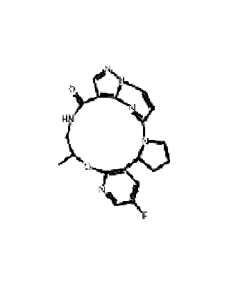 CC1CNC(=O)c2cnn3ccc(nc23)N2CCCC2c2cc(F)cnc2O1